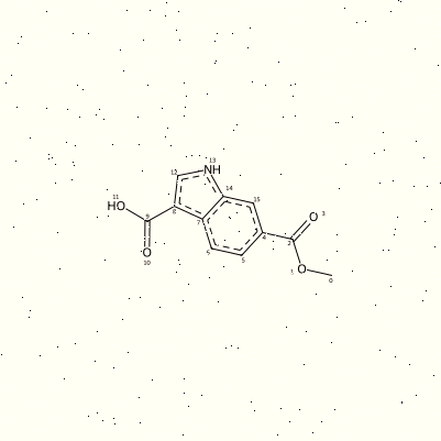 COC(=O)c1ccc2c(C(=O)O)c[nH]c2c1